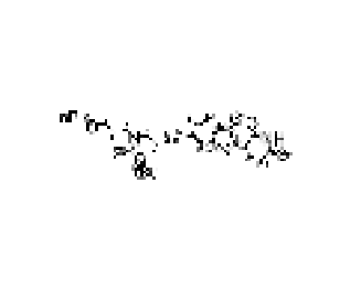 CCCCOCCCN(CCC#Cc1ccc2c(c1)CN(C1CCC(=O)NC1=O)C2=O)C(=O)OC(C)(C)C